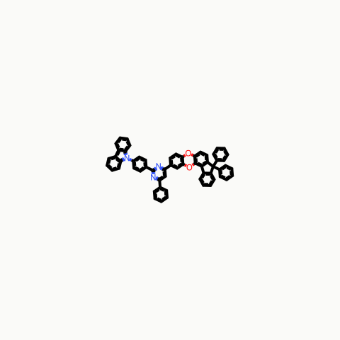 c1ccc(-c2cc(-c3ccc4c(c3)Oc3c(ccc5c3-c3ccccc3C5(c3ccccc3)c3ccccc3)O4)nc(-c3ccc(-n4c5ccccc5c5ccccc54)cc3)n2)cc1